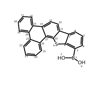 OB(O)c1cccc2c1sc1c2ccc2c3ccccc3c3ccccc3c21